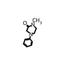 CN1CCN(c2ccccc2)CC1=O